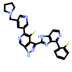 Fc1ccccc1-c1nccc2[nH]c(-c3n[nH]c4cnc(-c5cncc(CN6CCCC6)c5)c(F)c34)nc12